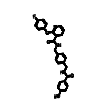 O=C(NCc1ccc(CNC(=O)c2cccnc2Oc2ccc(F)cc2)cc1)c1ccc(O)cc1